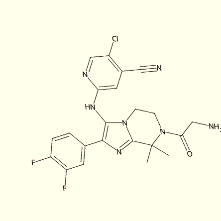 CC1(C)c2nc(-c3ccc(F)c(F)c3)c(Nc3cc(C#N)c(Cl)cn3)n2CCN1C(=O)CN